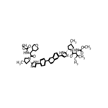 COC(=O)N[C@H](C(=O)N1C[C@@H](C)C[C@H]1c1ncc(-c2ccc3cc(-c4ccc(-c5cnc([C@@H]6C[C@H](C)CN6C(=O)[C@@H](NC(=O)OC)C6CCOCC6)[nH]5)cc4)ccc3c2)[nH]1)C(C)C